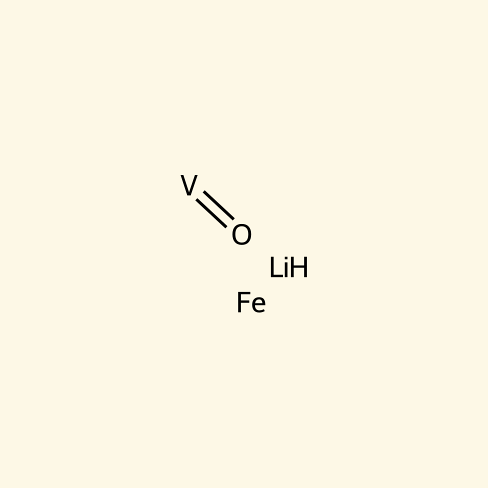 [Fe].[LiH].[O]=[V]